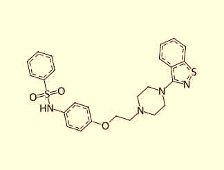 O=S(=O)(Nc1ccc(OCCN2CCN(c3nsc4ccccc34)CC2)cc1)c1ccccc1